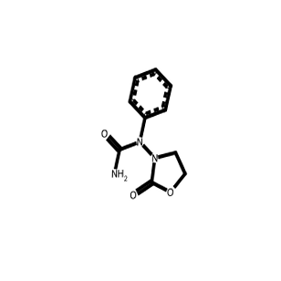 NC(=O)N(c1ccccc1)N1CCOC1=O